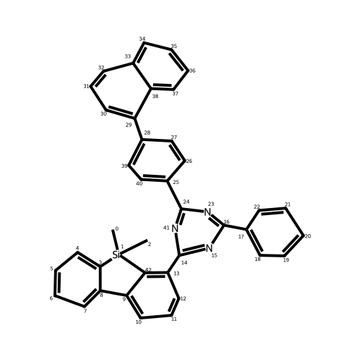 C[Si]1(C)c2ccccc2-c2cccc(-c3nc(-c4ccccc4)nc(-c4ccc(-c5cccc6ccccc56)cc4)n3)c21